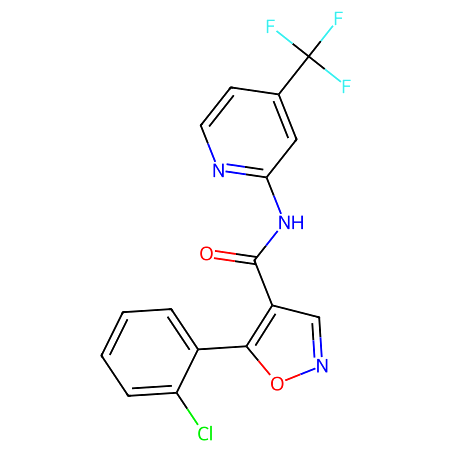 O=C(Nc1cc(C(F)(F)F)ccn1)c1cnoc1-c1ccccc1Cl